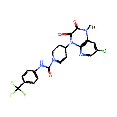 Cn1c(=O)c(=O)n(C2CCN(C(=O)Nc3ccc(C(F)(F)F)cc3)CC2)c2ncc(Cl)cc21